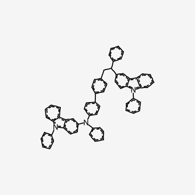 c1ccc(C(Cc2ccc(-c3ccc(N(c4ccccc4)c4ccc5c(c4)c4ccccc4n5-c4ccccc4)cc3)cc2)c2ccc3c(c2)c2ccccc2n3-c2ccccc2)cc1